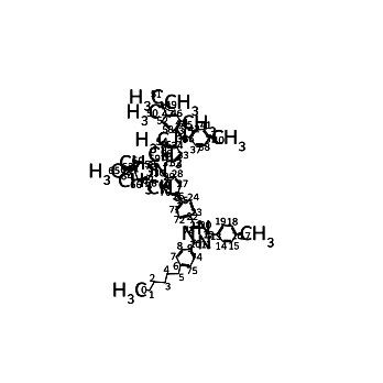 CCCCCCc1ccc(-c2nc(-c3ccc(C)cc3)nc(-c3ccc(-c4ccc(N(c5ccc(N(c6ccc(C)cc6)c6c(C)cc(C(C)(C)C)cc6C)cc5)c5c(C)cc(C(C)(C)C)cc5C)cc4)cc3)n2)cc1